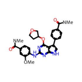 CNC(=O)c1ccc(-c2c[nH]c3nc(Nc4ccc(C(=O)NC)cc4OC)nc(OC4CCOC4)c23)cc1